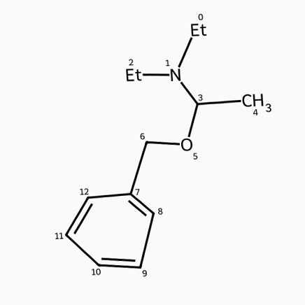 CCN(CC)C(C)OCc1ccccc1